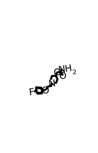 NC(=O)OC1CCN(CCOc2ccc(F)cc2)CC1